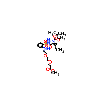 C=C[C@@H]1C[C@]1(NC(=O)OC(C)(C)C)C(=O)NS(=O)(=O)c1ccccc1NCCOCCOCCC(=O)OC